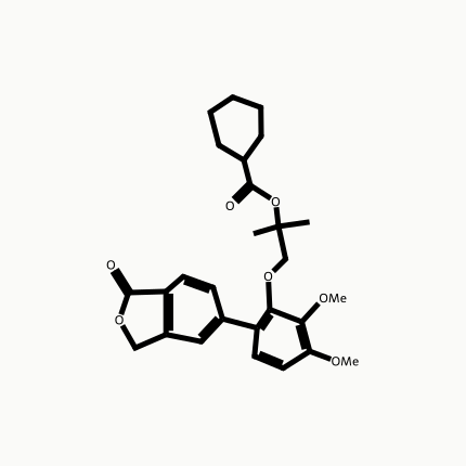 COc1ccc(-c2ccc3c(c2)COC3=O)c(OCC(C)(C)OC(=O)C2CCCCC2)c1OC